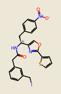 O=C(Cc1cccc(CI)c1)N[C@@H](Cc1ccc([N+](=O)[O-])cc1)c1coc(-c2cccs2)n1